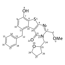 COCc1nc2sc3c(O)ccc(Cc4ccccc4)c3c2c(=O)n1CC1CCCO1